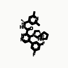 Cc1cc([C@@H](C)NC(=O)c2nncc(-c3cc(F)cc(F)c3)c2N2CC[C@@]3(CCCN3)C2)cc(C)n1